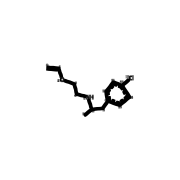 C=COCCNC(C)Cc1ccc(Cl)cc1